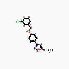 O=C(O)c1cc(-c2ccc(OCc3cccc(Cl)c3)cc2)no1